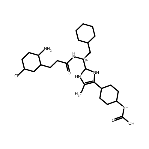 CC1=C(C2CCC(NC(=O)O)CC2)NC([C@H](CC2CCCCC2)NC(=O)CCC2CC(Cl)CCC2N)N1